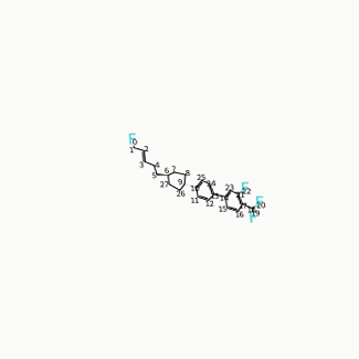 FCC=CCC[C@H]1CC[C@H](c2ccc(-c3ccc(C(F)F)c(F)c3)cc2)CC1